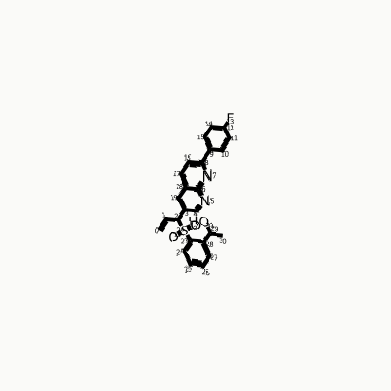 C=CC(c1cnc2nc(-c3ccc(F)cc3)ccc2c1)S(=O)(=O)c1ccccc1C(C)O